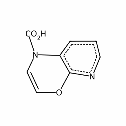 O=C(O)N1C=COc2ncccc21